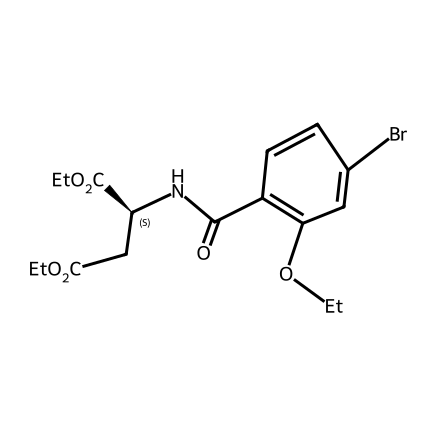 CCOC(=O)C[C@H](NC(=O)c1ccc(Br)cc1OCC)C(=O)OCC